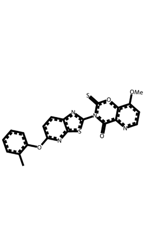 COc1ccnc2c(=O)n(-c3nc4ccc(Oc5ccccc5C)nc4s3)c(=S)oc12